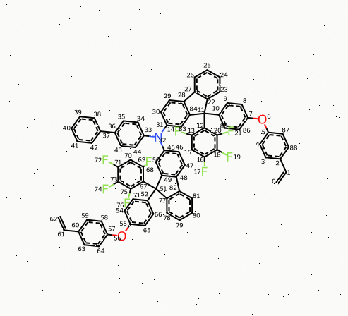 C=Cc1ccc(Oc2ccc(C3(c4c(F)cc(F)c(F)c4F)c4ccccc4-c4ccc(N(c5ccc(-c6ccccc6)cc5)c5ccc6c(c5)C(c5ccc(Oc7ccc(C=C)cc7)cc5)(c5c(F)cc(F)c(F)c5F)c5ccccc5-6)cc43)cc2)cc1